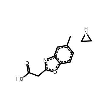 C1CN1.Cc1ccc2oc(CC(=O)O)nc2c1